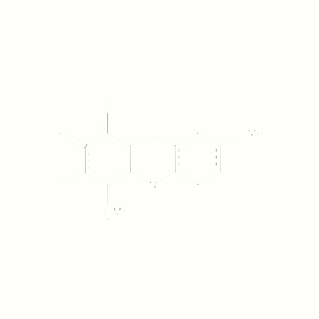 COc1ccc2nc3c(OC)c(Cl)c(=O)c(Cl)c-3sc2c1